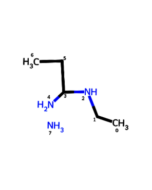 CCNC(N)CC.N